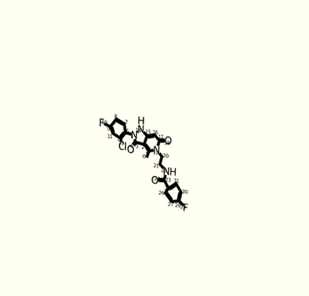 Cc1c2c(=O)n(-c3ccc(F)cc3Cl)[nH]c2cc(=O)n1CCNC(=O)c1ccc(F)cc1